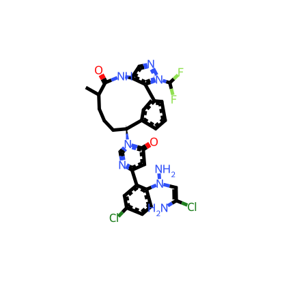 CC1CCC[C@H](n2cnc(-c3cc(Cl)ccc3N(N)/C=C(\N)Cl)cc2=O)c2cccc(c2)-c2c(cnn2C(F)F)NC1=O